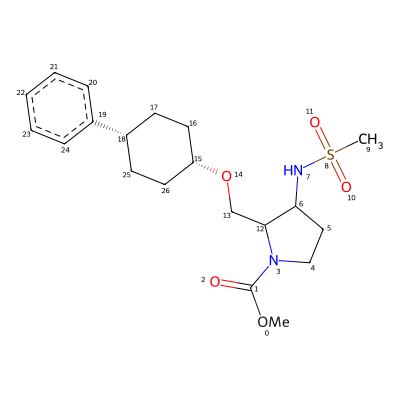 COC(=O)N1CCC(NS(C)(=O)=O)C1CO[C@H]1CC[C@@H](c2ccccc2)CC1